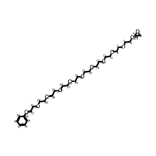 C1CO1.OCCOCCOCCOCCOCCOCCOCCOCCOCCOCCOc1ccccc1